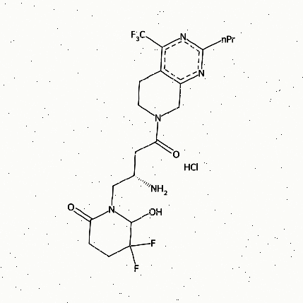 CCCc1nc2c(c(C(F)(F)F)n1)CCN(C(=O)C[C@H](N)CN1C(=O)CCC(F)(F)C1O)C2.Cl